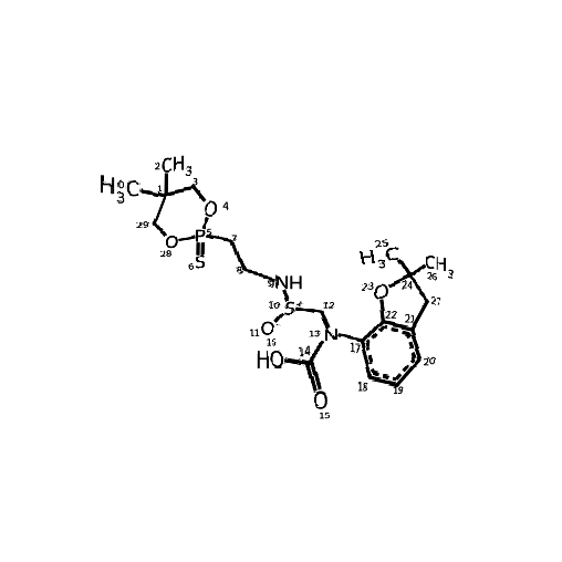 CC1(C)COP(=S)(CCN[S+]([O-])CN(C(=O)O)c2cccc3c2OC(C)(C)C3)OC1